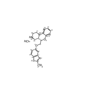 Cc1nc2cc(OCCOc3nccnc3N3CCNCC3)ccc2s1.Cl